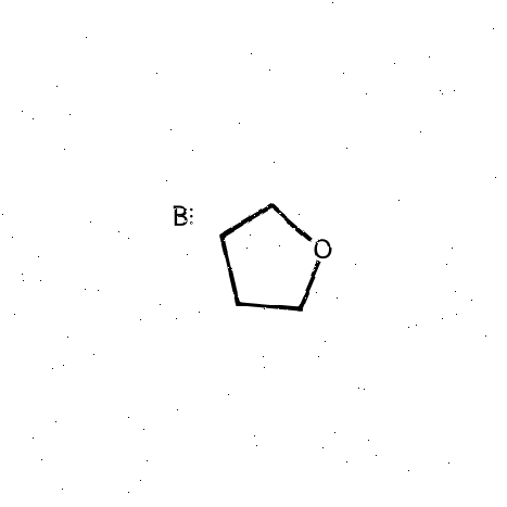 C1CCOC1.[B]